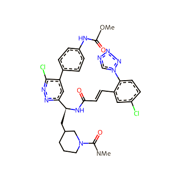 CNC(=O)N1CCCC(C[C@H](NC(=O)C=Cc2cc(Cl)ccc2-n2cnnn2)c2cc(-c3ccc(NC(=O)OC)cc3)c(Cl)nn2)C1